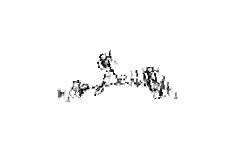 CC(=O)NC(ONCCCNCCCN(CCCNC(=O)CCCCOOC(C)=O)C(=O)CCCCOOC(C)=O)OC(C)=O